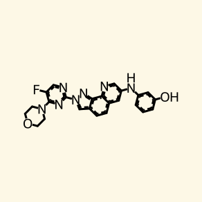 Oc1cccc(Nc2cnc3c(ccc4cn(-c5ncc(F)c(N6CCOCC6)n5)nc43)c2)c1